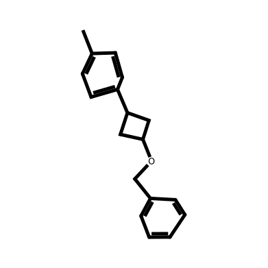 Cc1ccc(C2CC(OCc3ccccc3)C2)cc1